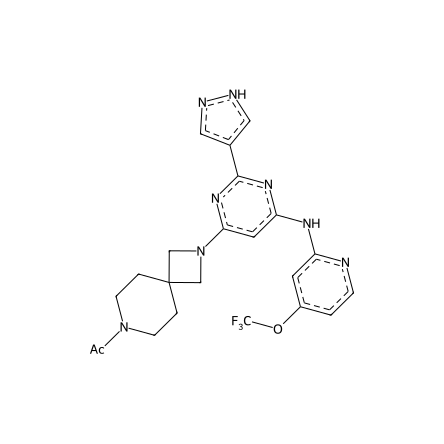 CC(=O)N1CCC2(CC1)CN(c1cc(Nc3cc(OC(F)(F)F)ccn3)nc(-c3cn[nH]c3)n1)C2